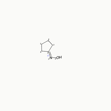 O/N=C1\C[CH]CC1